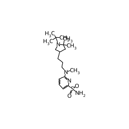 CN(CCCC1CN(C(C)(C)C)C(C)(C)C1)c1cccc(S(N)(=O)=O)n1